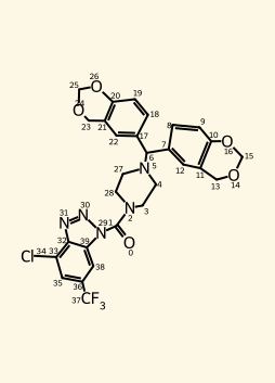 O=C(N1CCN(C(c2ccc3c(c2)COCO3)c2ccc3c(c2)COCO3)CC1)n1nnc2c(Cl)cc(C(F)(F)F)cc21